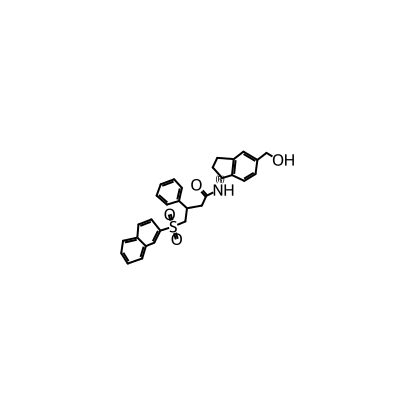 O=C(CC(CS(=O)(=O)c1ccc2ccccc2c1)c1ccccc1)N[C@@H]1CCc2cc(CO)ccc21